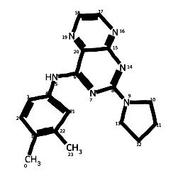 Cc1ccc(Nc2nc(N3CCCC3)nc3nccnc23)cc1C